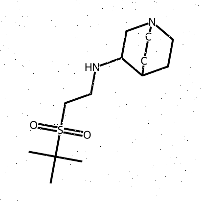 CC(C)(C)S(=O)(=O)CCNC1CN2CCC1CC2